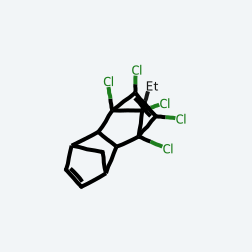 CCC1(Cl)C2(Cl)C(Cl)=C(Cl)C1(Cl)C1C3C=CC(C3)C12